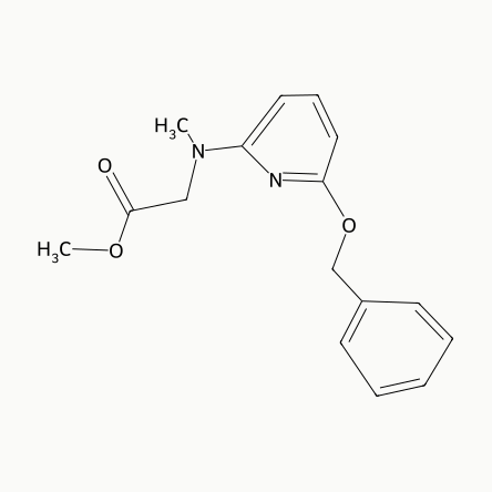 COC(=O)CN(C)c1cccc(OCc2ccccc2)n1